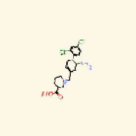 NC1CC(CN2CCCC(C(=O)O)C2)=CCC1c1ccc(Cl)cc1Cl